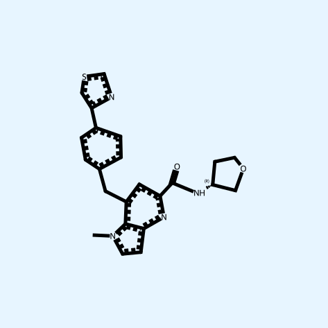 Cn1ccc2nc(C(=O)N[C@@H]3CCOC3)cc(Cc3ccc(-c4cscn4)cc3)c21